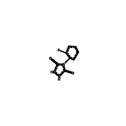 O=c1[nH][nH]c(=O)n1-c1ccccc1F